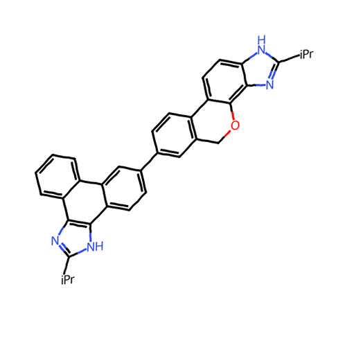 CC(C)c1nc2c3c(ccc2[nH]1)-c1ccc(-c2ccc4c(c2)c2ccccc2c2nc(C(C)C)[nH]c42)cc1CO3